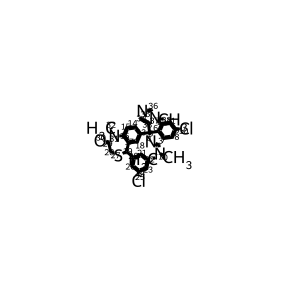 CN(C)/C=N/C(c1ccc(Cl)cc1)(c1ccc2c(c1)C(c1cccc(Cl)c1)SCC(=O)N2C)c1cncn1C